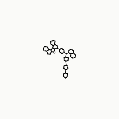 c1ccc(-c2ccc(-c3ccc(C(c4ccc(-c5cc6ccccc6c6c5oc5ccc7ccccc7c56)cc4)c4cccc5ccccc45)cc3)cc2)cc1